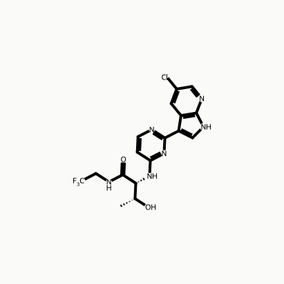 C[C@@H](O)[C@@H](Nc1ccnc(-c2c[nH]c3ncc(Cl)cc23)n1)C(=O)NCC(F)(F)F